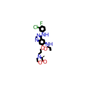 C=CC(=O)Nc1cc2c(Nc3ccc(F)c(Cl)c3)ncnc2cc1OCCCN1CCOC(=O)[C@@H]1C